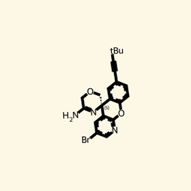 CC(C)(C)C#Cc1ccc2c(c1)[C@@]1(COCC(N)=N1)c1cc(Br)cnc1O2